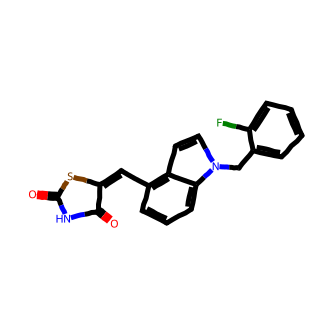 O=C1NC(=O)C(=Cc2cccc3c2ccn3Cc2ccccc2F)S1